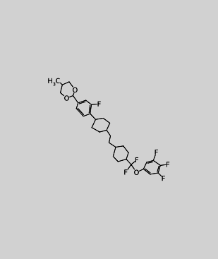 CC1COC(c2ccc(C3CCC(CCC4CCC(C(F)(F)Oc5cc(F)c(F)c(F)c5)CC4)CC3)c(F)c2)OC1